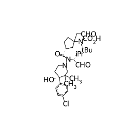 CC(C)[C@H](C=O)N(C(=O)[C@@H]1CCC(CC=O)(N(C(=O)O)C(C)(C)C)C1)N1CC[C@](O)(c2ccc(Cl)cc2)C(C)(C)C1